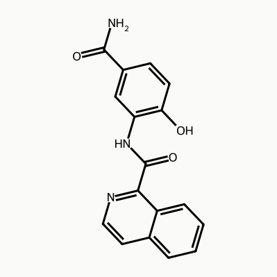 NC(=O)c1ccc(O)c(NC(=O)c2nccc3ccccc23)c1